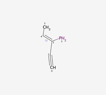 C#C/C(P)=C/C